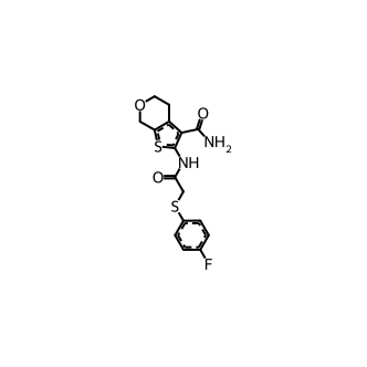 NC(=O)c1c(NC(=O)CSc2ccc(F)cc2)sc2c1CCOC2